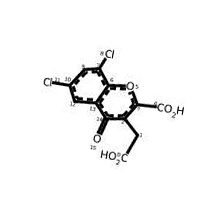 O=C(O)Cc1c(C(=O)O)oc2c(Cl)cc(Cl)cc2c1=O